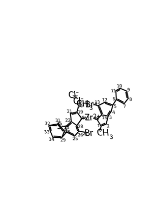 CC1=Cc2cc(-c3ccccc3)cc(Br)c2[CH]1[Zr+2][CH]1C(C)=Cc2c3c(cc(Br)c21)-c1ccc(cc1)S3.[Cl-].[Cl-]